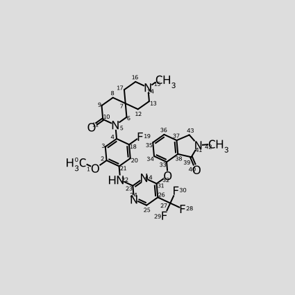 COc1cc(N2CC3(CCC2=O)CCN(C)CC3)c(F)cc1Nc1ncc(C(F)(F)F)c(Oc2cccc3c2C(=O)N(C)C3)n1